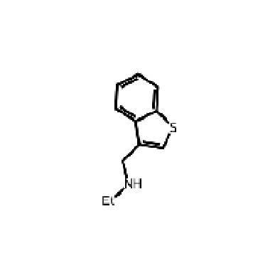 CCNCc1csc2ccccc12